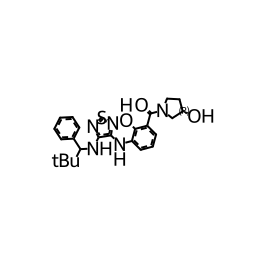 CC(C)(C)C(Nc1nsnc1Nc1cccc(C(=O)N2CC[C@@H](O)C2)c1O)c1ccccc1